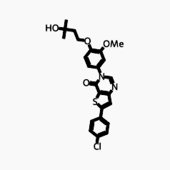 COc1cc(-n2cnc3cc(-c4ccc(Cl)cc4)sc3c2=O)ccc1OCCC(C)(C)O